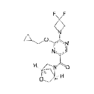 O=C(c1cnc(N2CC(F)(F)C2)c(OCC2CC2)n1)N1C[C@H]2C[C@@H]1CO2